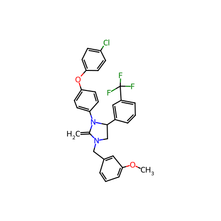 C=C1N(Cc2cccc(OC)c2)CC(c2cccc(C(F)(F)F)c2)N1c1ccc(Oc2ccc(Cl)cc2)cc1